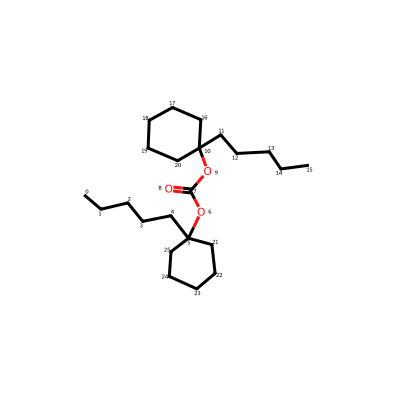 CCCCCC1(OC(=O)OC2(CCCCC)CCCCC2)CCCCC1